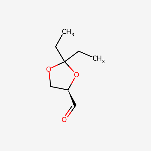 CCC1(CC)OC[C@H](C=O)O1